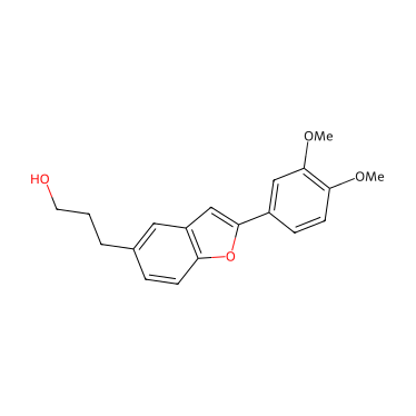 COc1ccc(-c2cc3cc(CCCO)ccc3o2)cc1OC